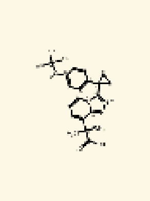 CC(C)(C(=O)O)c1cccn2c(C3(c4ccc(OC(F)(F)F)cc4)CC3)nnc12